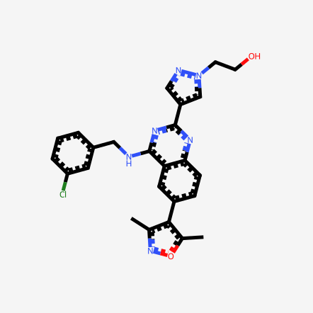 Cc1noc(C)c1-c1ccc2nc(-c3cnn(CCO)c3)nc(NCc3cccc(Cl)c3)c2c1